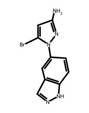 Nc1cc(Br)n(-c2ccc3[nH]ncc3c2)n1